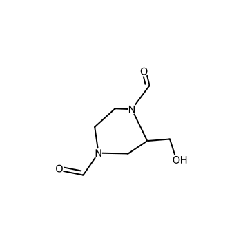 O=CN1CCN(C=O)C(CO)C1